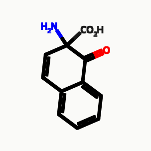 NC1(C(=O)O)C=Cc2ccccc2C1=O